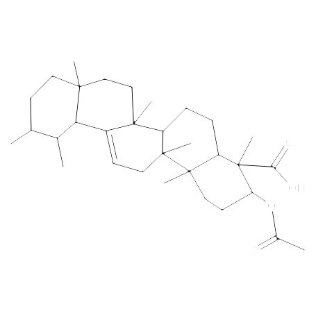 CC(=O)OC1CCC2(C)C(CCC3C4(C)CCC5(C)CCC(C)C(C)C5C4=CCC32C)C1(C)C(=O)O